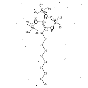 CCCCCCCCCCC(O[Si](C)(C)C)=C(O[Si](C)(C)C)O[Si](C)(C)C